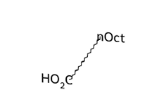 CCCCCCCCC=CCCCCCCCCC=CCCC=CCCCC(=O)O